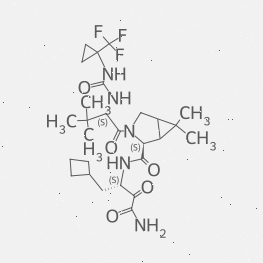 CC1(C)C2CN(C(=O)[C@@H](NC(=O)NC3(C(F)(F)F)CC3)C(C)(C)C)[C@H](C(=O)N[C@@H](CC3CCC3)C(=O)C(N)=O)C21